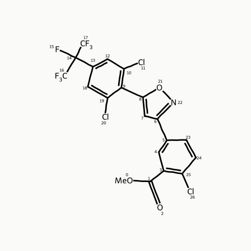 COC(=O)c1cc(-c2cc(-c3c(Cl)cc(C(F)(C(F)(F)F)C(F)(F)F)cc3Cl)on2)ccc1Cl